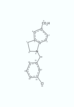 O=C(O)c1ccc2c(c1)CCN2Cc1cccc(Cl)c1